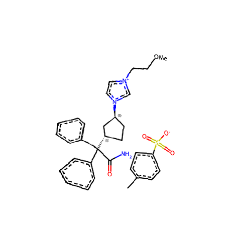 COCC[n+]1ccn([C@H]2CC[C@H](C(C(N)=O)(c3ccccc3)c3ccccc3)C2)c1.Cc1ccc(S(=O)(=O)[O-])cc1